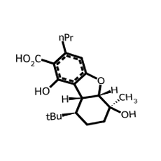 CCCc1cc2c(c(O)c1C(=O)O)[C@H]1[C@H](C(C)(C)C)CC[C@](C)(O)[C@H]1O2